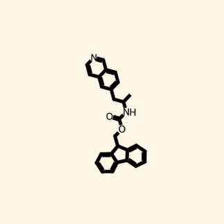 CC(Cc1ccc2cnccc2c1)NC(=O)OCC1c2ccccc2-c2ccccc21